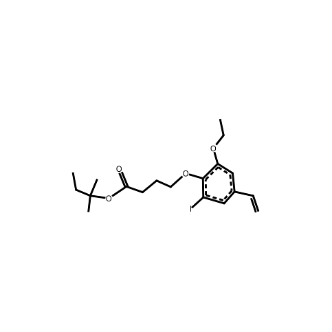 C=Cc1cc(I)c(OCCCC(=O)OC(C)(C)CC)c(OCC)c1